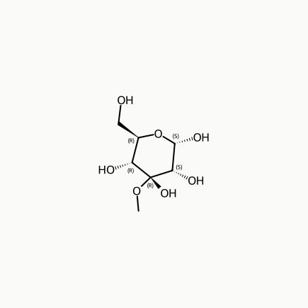 CO[C@]1(O)[C@H](O)[C@@H](CO)O[C@H](O)[C@@H]1O